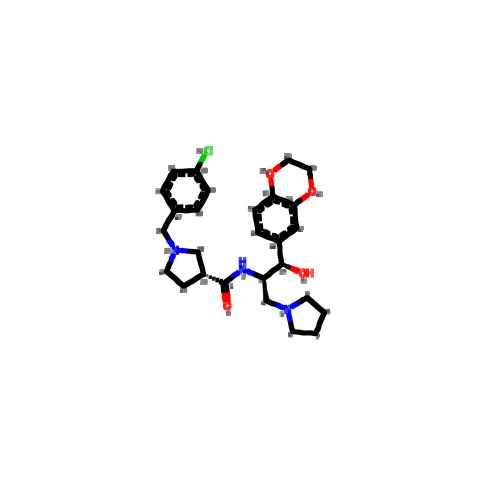 O=C(N[C@H](CN1CCCC1)[C@H](O)c1ccc2c(c1)OCCO2)[C@@H]1CCN(Cc2ccc(Cl)cc2)C1